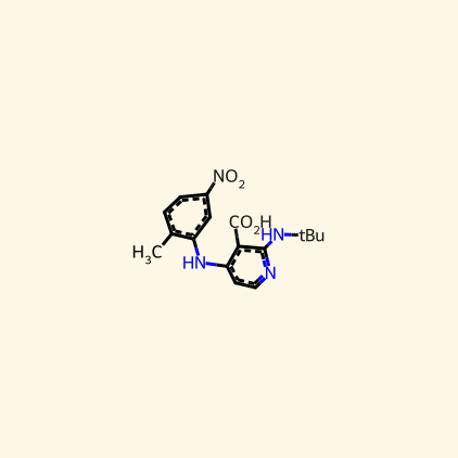 Cc1ccc([N+](=O)[O-])cc1Nc1ccnc(NC(C)(C)C)c1C(=O)O